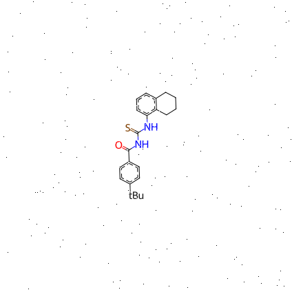 CC(C)(C)c1ccc(C(=O)NC(=S)Nc2cccc3c2CCCC3)cc1